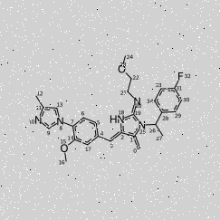 C=c1/c(=C/c2ccc(-n3cnc(C)c3)c(OC)c2)[nH]/c(=N\CCOC)n1C(C)c1ccc(F)cc1